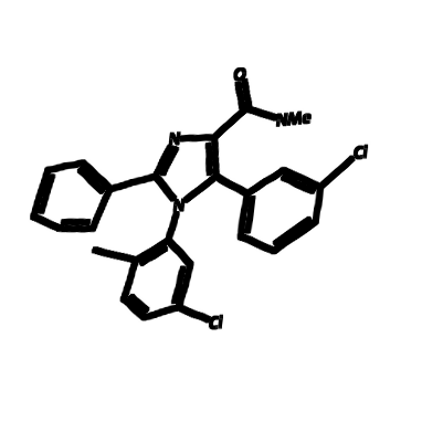 CNC(=O)c1nc(-c2ccccc2)n(-c2cc(Cl)ccc2C)c1-c1cccc(Cl)c1